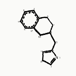 C1=NC(CC2CCc3ccccc3C2)=CC1